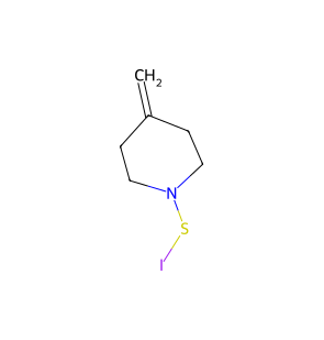 C=C1CCN(SI)CC1